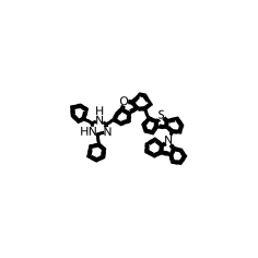 c1ccc(C2N=C(c3ccc4c(c3)oc3cccc(-c5cccc6c5sc5cccc(-n7c8ccccc8c8ccccc87)c56)c34)NC(c3ccccc3)N2)cc1